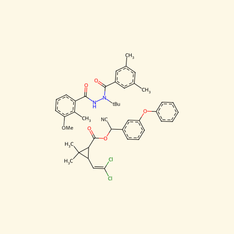 CC1(C)C(C=C(Cl)Cl)C1C(=O)OC(C#N)c1cccc(Oc2ccccc2)c1.COc1cccc(C(=O)NN(C(=O)c2cc(C)cc(C)c2)C(C)(C)C)c1C